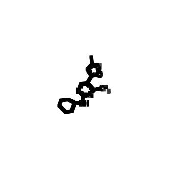 Cc1cc(-c2cnc(NC3CCCCC3)nc2C(F)(F)F)on1